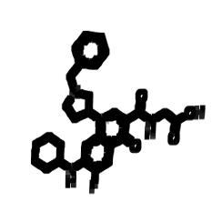 O=C(O)CNC(=O)c1cn(C2CCN(Cc3ccccc3)C2)c2cc(NC3CCCCC3)c(F)cc2c1=O